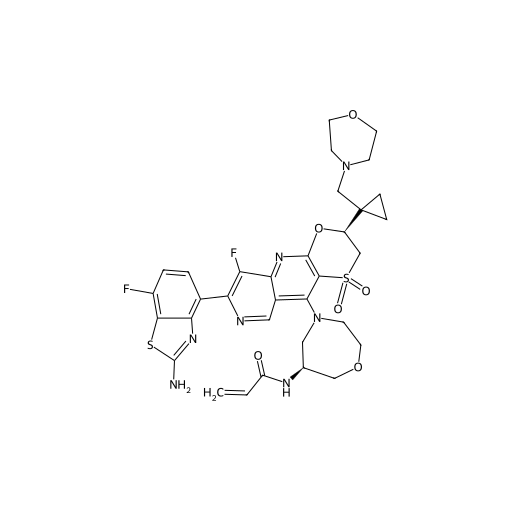 C=CC(=O)N[C@@H]1COCCN(c2c3c(nc4c(F)c(-c5ccc(F)c6sc(N)nc56)ncc24)O[C@@H](C2(CN4CCOCC4)CC2)CS3(=O)=O)C1